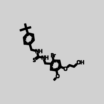 COc1cc(CNC(=S)NCc2ccc(C(C)(C)C)cc2)c(Br)cc1OCCO